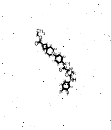 CCOC(=O)C1CC2(CCN(c3ccc(NC(=O)c4nnc(Nc5ccc(F)c(F)c5)o4)cc3)CC2)C1